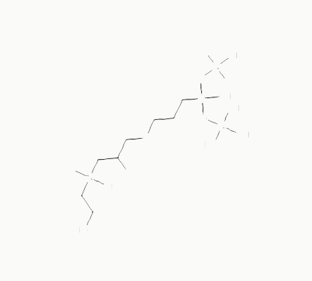 C[N+](C)(CCO)CC(O)COCCC[Si](C)(O[Si](C)(C)C)O[Si](C)(C)C